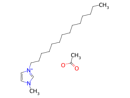 CC(=O)[O-].CCCCCCCCCCCCCC[n+]1ccn(C)c1